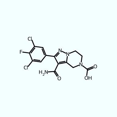 NC(=O)c1c(-c2cc(Cl)c(F)c(Cl)c2)nn2c1CN(C(=O)O)CC2